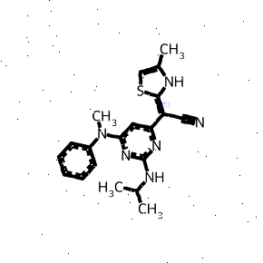 CC1=CS/C(=C(/C#N)c2cc(N(C)c3ccccc3)nc(NC(C)C)n2)N1